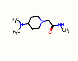 CNC(=O)CN1CCC(N(C)C)CC1